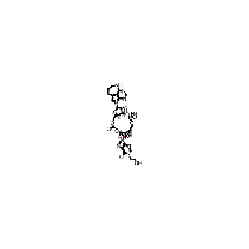 O=C1OC[C@H]2O[C@@H](n3cc4c5c(ncnc53)NCCC4)[C@@H](F)[C@@H]2OP(=O)(S)OC[C@H]2O[C@@H](n3cnc4c(=O)n(CCO)cnc43)[C@H](O1)[C@@H]2O